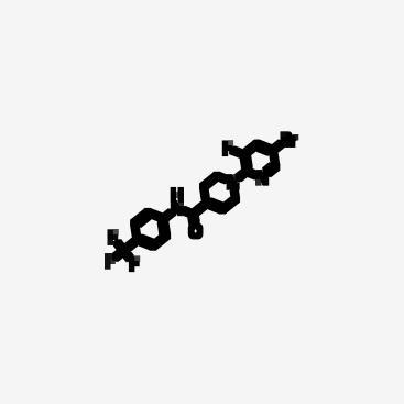 O=C(Nc1ccc(C(F)(F)F)cc1)C1=CCN(c2ncc(Br)cc2F)CC1